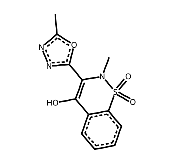 Cc1nnc(C2=C(O)c3ccccc3S(=O)(=O)N2C)o1